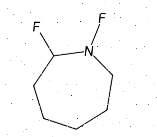 FC1CCCCCN1F